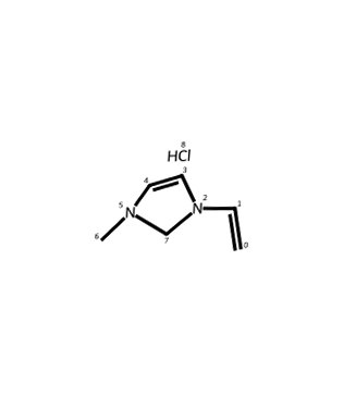 C=CN1C=CN(C)C1.Cl